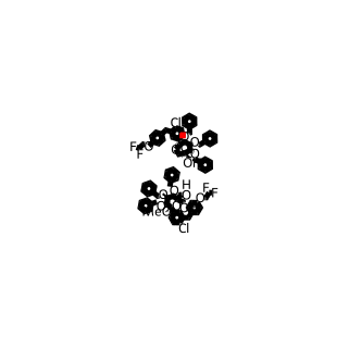 CO[C@@]1(c2ccc(Cl)c(Cc3ccc(OCC(F)F)cc3)c2)OC(CO)(CO)[C@@H](OCc2ccccc2)[C@H](OCc2ccccc2)[C@H]1OCc1ccccc1.OC[C@@]12CO[C@@](c3ccc(Cl)c(Cc4ccc(OCC(F)F)cc4)c3)(O1)[C@H](OCc1ccccc1)[C@@H](OCc1ccccc1)[C@@H]2OCc1ccccc1